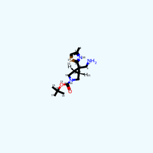 Cc1csc(C2(CN)[C@@H]3CN(C(=O)OC(C)(C)C)C[C@@H]32)n1